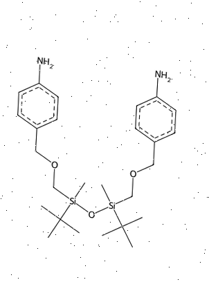 CC(C)(C)[Si](C)(COCc1ccc(N)cc1)O[Si](C)(COCc1ccc(N)cc1)C(C)(C)C